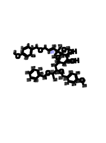 COc1ccc(COC/C=C/C(C)(C)[C@]2(OC)O[C@H](CC(OCc3ccc(OC)cc3)C(C)OCc3ccccc3)C[C@H](O)[C@@H]2O)cc1